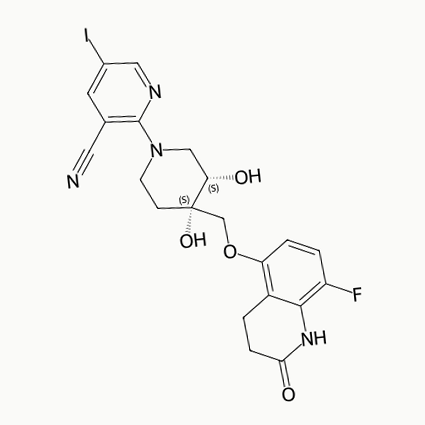 N#Cc1cc(I)cnc1N1CC[C@](O)(COc2ccc(F)c3c2CCC(=O)N3)[C@@H](O)C1